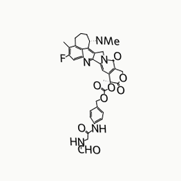 CN[C@H]1CCCc2c(C)c(F)cc3nc4c(c1c23)Cn1c-4cc2c(c1=O)COC(=O)[C@@]2(C)OC(=O)OCc1ccc(NC(=O)CNC=O)cc1